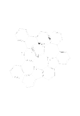 c1ccc(-c2nc3c4ccccc4c4ccccc4c3nc2-n2c3ccccc3c3ccc4c5cccc6c5n(c4c32)-c2ccccc2-c2ccccc2-6)cc1